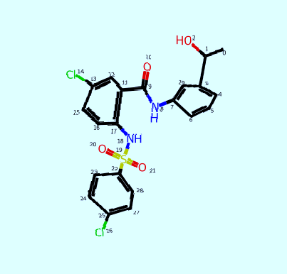 CC(O)c1cccc(NC(=O)c2cc(Cl)ccc2NS(=O)(=O)c2ccc(Cl)cc2)c1